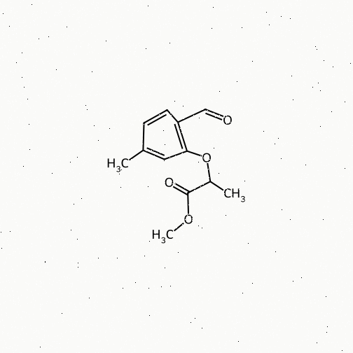 COC(=O)C(C)Oc1cc(C)ccc1C=O